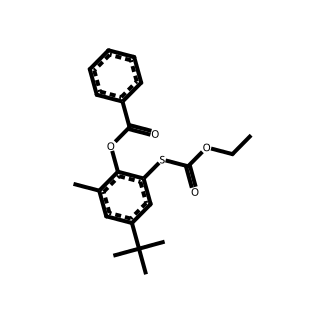 CCOC(=O)Sc1cc(C(C)(C)C)cc(C)c1OC(=O)c1ccccc1